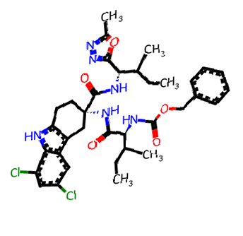 CCC(C)[C@H](NC(=O)OCc1ccccc1)C(=O)N[C@@]1(C(=O)N[C@H](c2nnc(C)o2)C(C)CC)CCc2[nH]c3c(Cl)cc(Cl)cc3c2C1